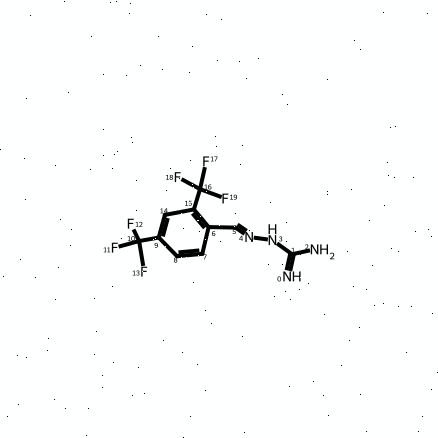 N=C(N)NN=Cc1ccc(C(F)(F)F)cc1C(F)(F)F